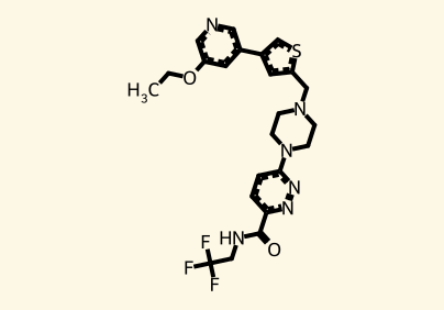 CCOc1cncc(-c2csc(CN3CCN(c4ccc(C(=O)NCC(F)(F)F)nn4)CC3)c2)c1